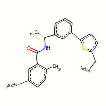 CC(=O)NCc1ccc(-c2cccc([C@@H](C)NC(=O)c3cc(NC(C)=O)ccc3C)c2)s1